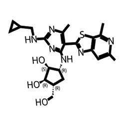 Cc1cc2nc(-c3c(C)nc(NCC4CC4)nc3N[C@@H]3C[C@H](CO)[C@@H](O)[C@H]3O)sc2c(C)n1